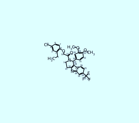 CCc1cc(Cl)ccc1OCC(=O)N1CCc2nc3cc(C(F)(F)F)ccn3c2C1c1ccc(OC)c(OC)c1